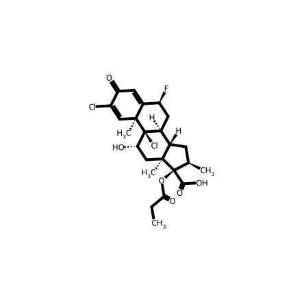 CCC(=O)O[C@]1(C(=O)O)[C@H](C)C[C@H]2[C@@H]3C[C@H](F)C4=CC(=O)C(Cl)=C[C@]4(C)[C@@]3(Cl)[C@@H](O)C[C@@]21C